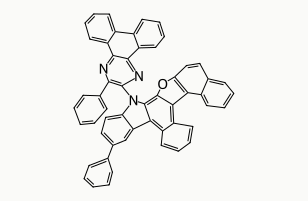 c1ccc(-c2ccc3c(c2)c2c4ccccc4c4c(oc5ccc6ccccc6c54)c2n3-c2nc3c4ccccc4c4ccccc4c3nc2-c2ccccc2)cc1